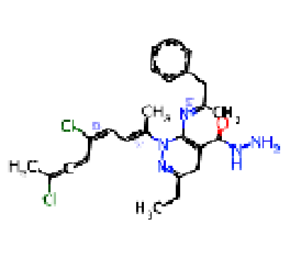 CCC1=NN(/C(C)=C/C=C(/Cl)C=C=C(C)Cl)C(/N=C(\C)Cc2ccccc2)=C(C(=O)NN)C1